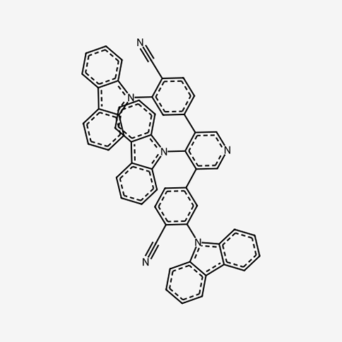 N#Cc1ccc(-c2cncc(-c3ccc(C#N)c(-n4c5ccccc5c5ccccc54)c3)c2-n2c3ccccc3c3ccccc32)cc1-n1c2ccccc2c2ccccc21